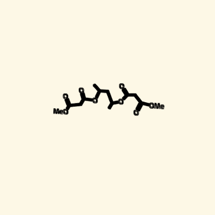 COC(=O)CC(=O)OC(C)CC(C)OC(=O)CC(=O)OC